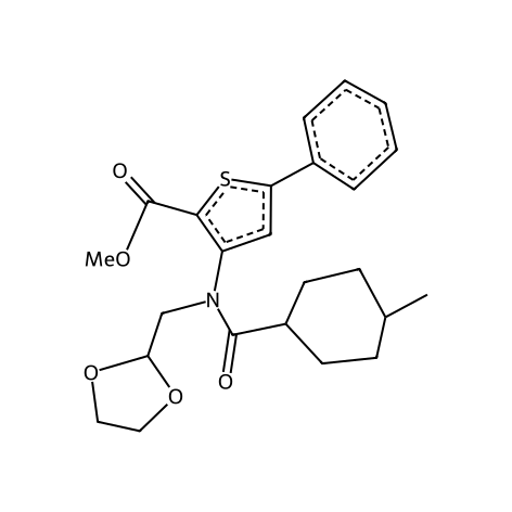 COC(=O)c1sc(-c2ccccc2)cc1N(CC1OCCO1)C(=O)C1CCC(C)CC1